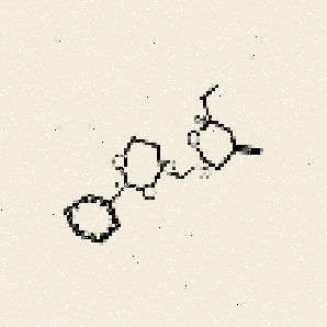 C=C1C[C@H](C[C@@H]2CCO[C@H](c3ccccc3)O2)O[C@@H](CC)C1